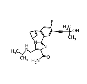 CC(C)NCc1c(C(N)=O)nc2n1C1C=C(C1)c1cc(F)c(C#CC(C)(C)O)cc1-2